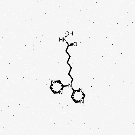 O=C(CCCCCCN(c1ccncn1)c1cnccn1)NO